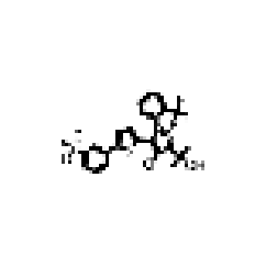 CC(C)(O)c1nn(-c2ccccc2C(F)(F)F)c(-c2ccc(-c3cccc(S(C)(=O)=O)c3)s2)c1Cl